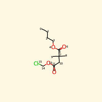 CCCCOC(=O)C(C)(C)CC(=O)OCCl